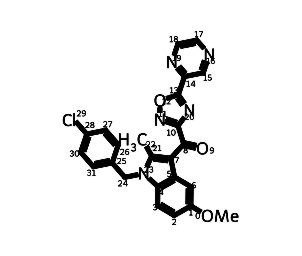 COc1ccc2c(c1)c(C(=O)c1noc(-c3cnccn3)n1)c(C)n2Cc1ccc(Cl)cc1